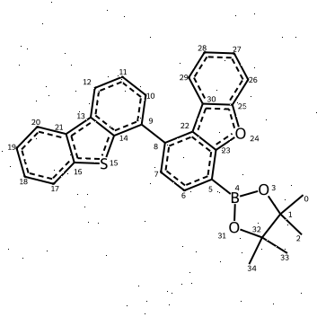 CC1(C)OB(c2ccc(-c3cccc4c3sc3ccccc34)c3c2oc2ccccc23)OC1(C)C